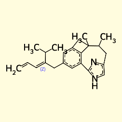 C=C/C=C(/Cc1cc2c3c(c1)-c1nc(c[nH]1)CC(C)C3(C)C2)C(C)C